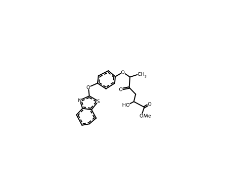 COC(=O)C(O)CC(=O)C(C)Oc1ccc(Oc2nc3ccccc3s2)cc1